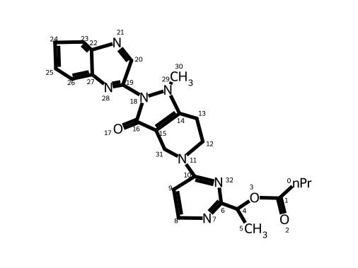 CCCC(=O)OC(C)c1nccc(N2CCc3c(c(=O)n(-c4cnc5ccccc5n4)n3C)C2)n1